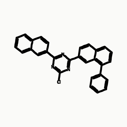 Clc1nc(-c2ccc3ccccc3c2)nc(-c2ccc3cccc(-c4ccccc4)c3c2)n1